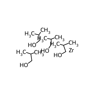 CC(C)CO.CC(C)CO.CC(C)CO.CC(C)CO.[Zr]